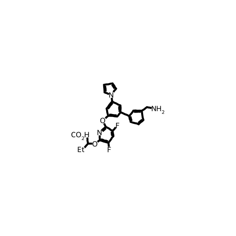 CCC(Oc1nc(Oc2cc(-c3cccc(CN)c3)cc(-n3cccc3)c2)c(F)cc1F)C(=O)O